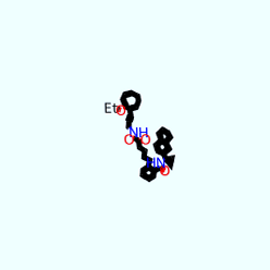 CCOC1=C/C=C\CC/C=C\1C#CCNC(=O)C(=O)CCCCc1ccccc1C(=O)NC1(c2ccc3ccccc3c2)CC1